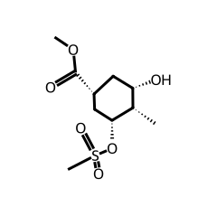 COC(=O)[C@@H]1C[C@H](O)[C@H](C)[C@H](OS(C)(=O)=O)C1